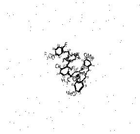 COc1ccc(CN(Cc2ccc(OC)cc2)S(=O)(=O)CC(C)(O)c2ccc(Cl)c(-c3nnn(Cc4cc(OC(F)(F)F)ccc4F)n3)n2)cc1